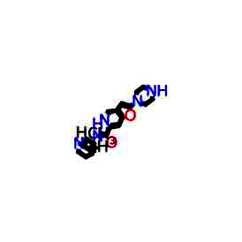 C[C@H]1[C@H](NC(=O)c2cc3oc(N4CCNCC4)cc3cn2)C2CCN1CC2